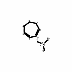 C1=CCCCC=C1.CN(C)C